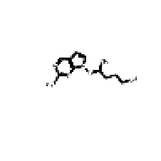 Nc1ncc2ncn(OC(O)CCCO)c2n1